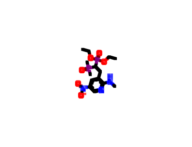 CCOP(=O)(OCC)C(Cc1cc([N+](=O)[O-])cnc1NC)P(C)(C)=O